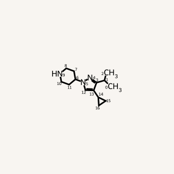 CC(C)c1nn(C2CCNCC2)cc1C1CC1